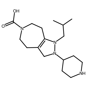 CC(C)CN1C2=C(CCN(C(=O)O)CC2)CN1C1CCNCC1